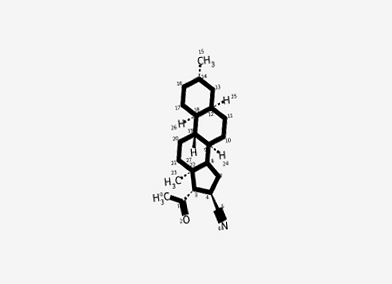 CC(=O)[C@H]1[C@H](C#N)CC2[C@@H]3CC[C@@H]4C[C@@H](C)CC[C@@H]4[C@H]3CC[C@@]21C